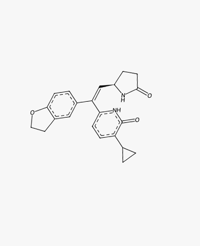 O=C1CC[C@H](/C=C(/c2ccc3c(c2)CCO3)c2ccc(C3CC3)c(=O)[nH]2)N1